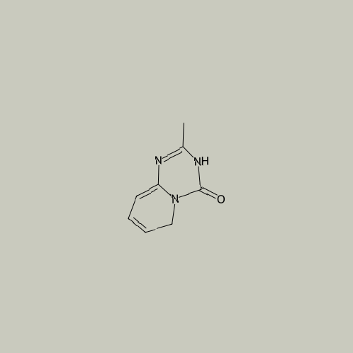 CC1=NC2=CC=CCN2C(=O)N1